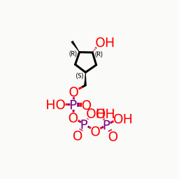 C[C@@H]1C[C@H](COP(=O)(O)OP(=O)(O)OP(=O)(O)O)C[C@H]1O